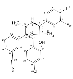 C[C@H](N[C@@H](c1ccc(F)c(F)c1)C(C)(C)O)C(Cc1ccc(Cl)cc1)c1cccc(C#N)c1